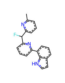 Cc1cccc(C(F)c2cccc(-c3cccc4cc[nH]c34)n2)n1